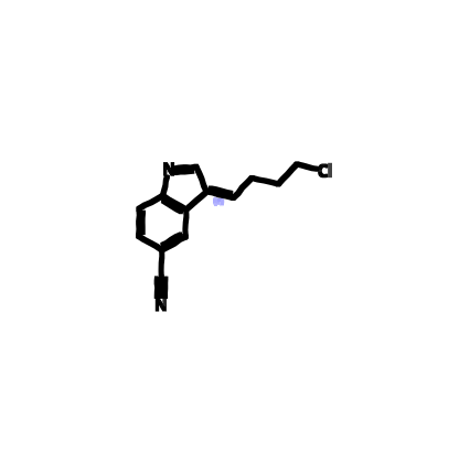 N#Cc1ccc2c(c1)/C(=C/CCCCl)C=N2